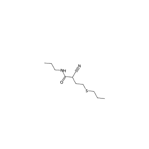 CCCNC(=O)C(C#N)CCSCCC